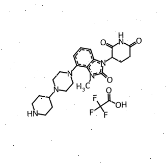 Cn1c(=O)n(C2CCC(=O)NC2=O)c2cccc(N3CCN(C4CCNCC4)CC3)c21.O=C(O)C(F)(F)F